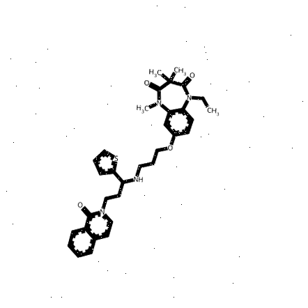 CCN1C(=O)C(C)(C)C(=O)N(C)c2cc(OCCCNC(CCn3ccc4ccccc4c3=O)c3cccs3)ccc21